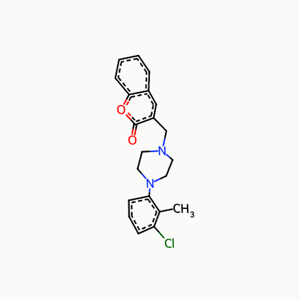 Cc1c(Cl)cccc1N1CCN(Cc2cc3ccccc3oc2=O)CC1